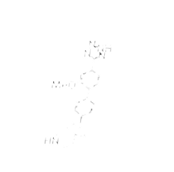 COc1cc(-c2nn[nH]n2)ccc1-c1ccc([C@H]2CC23CCNCC3)cc1